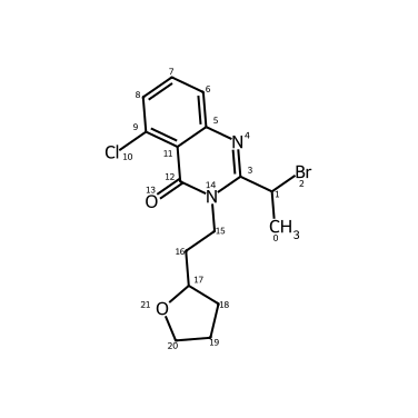 CC(Br)c1nc2cccc(Cl)c2c(=O)n1CCC1CCCO1